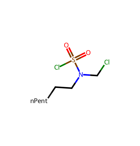 CCCCCCCN(CCl)S(=O)(=O)Cl